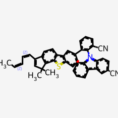 C/C=C\C=C/C1=CC(C)(C)c2c1ccc1c2sc2ccc(-c3cccc(C#N)c3-n3c4ccccc4c4cc(C#N)ccc43)cc21